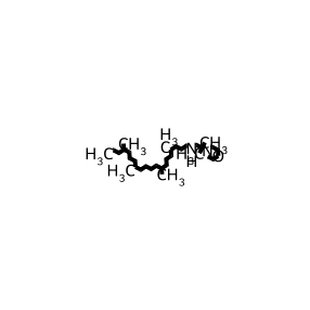 CCCC(C)CCCC(C)CCCCC(C)CCCC(C)CCCNCC(C)(C)N1CCOCC1